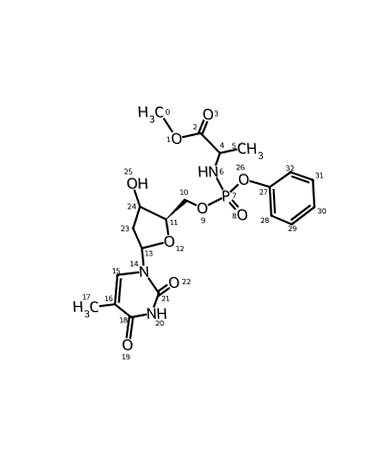 COC(=O)C(C)NP(=O)(OC[C@H]1OC(n2cc(C)c(=O)[nH]c2=O)CC1O)Oc1ccccc1